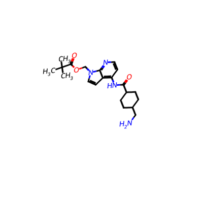 CC(C)(C)C(=O)OCn1ccc2c(NC(=O)C3CCC(CN)CC3)ccnc21